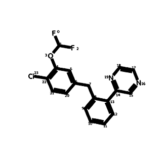 FC(F)Oc1cc(Cc2ccccc2-c2[c]nccn2)ccc1Cl